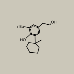 CCCCc1cc(CCO)cc(C2(C)CCCCC2)c1O